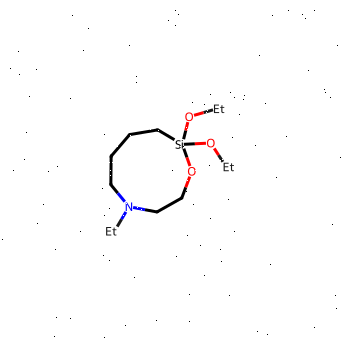 CCO[Si]1(OCC)CCCCN(CC)CCO1